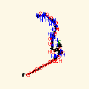 Cc1cc(F)cc(C)c1Oc1ccc(C(C)(O)CCC(C)CCNC(=O)CCNC(=O)c2nc(NC(=O)CCNC(=O)c3cc(NC(=O)c4nc(NC(=O)CCNC(=O)c5cc(NC(=O)c6nccn6C)cn5C)cn4C)cn3C)cn2C)cc1-c1cn(C)c(=O)c2[nH]c(C(=O)Nc3ccc(OCCOCCOCCOCCOCCOCCOCCOCCOC(C)C)c(O)c3)cc12